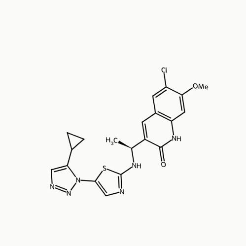 COc1cc2[nH]c(=O)c([C@H](C)Nc3ncc(-n4nncc4C4CC4)s3)cc2cc1Cl